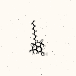 CCCCCCCCOC(=O)c1c(C(C)(C)C)cc(O)cc1C(C)(C)C